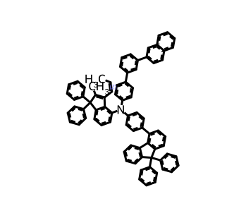 C/C=C\C1=C(C)C(c2ccccc2)(c2ccccc2)c2cccc(N(c3ccc(-c4cccc(-c5ccc6ccccc6c5)c4)cc3)c3ccc(-c4cccc5c4-c4ccccc4C5(c4ccccc4)c4ccccc4)cc3)c21